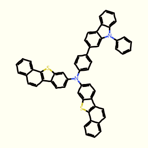 c1ccc(-n2c3ccccc3c3ccc(-c4ccc(N(c5ccc6c(c5)sc5c7ccccc7ccc65)c5ccc6c(c5)sc5c7ccccc7ccc65)cc4)cc32)cc1